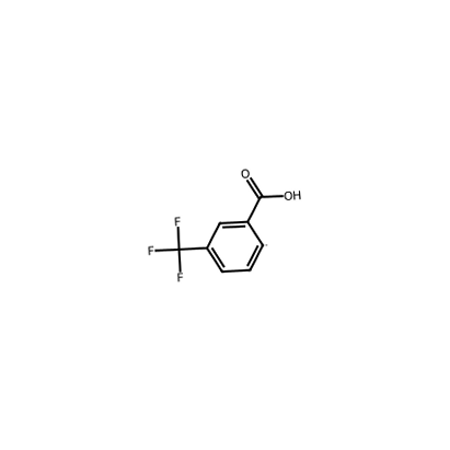 O=C(O)c1[c]ccc(C(F)(F)F)c1